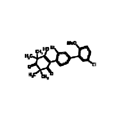 CCc1cc(-c2cc(Cl)ccc2OC)ccc1C1=C(O)C(C)(C)C(=O)C(C)(C)C1=O